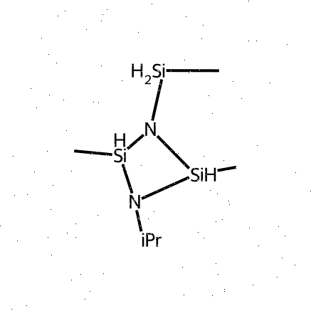 C[SiH2]N1[SiH](C)N(C(C)C)[SiH]1C